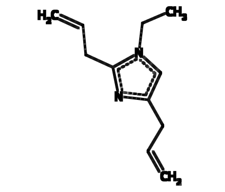 C=CCc1cn(CC)c(CC=C)n1